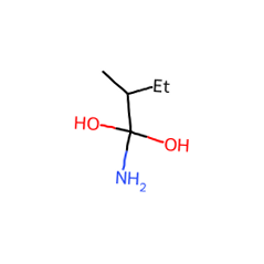 CCC(C)C(N)(O)O